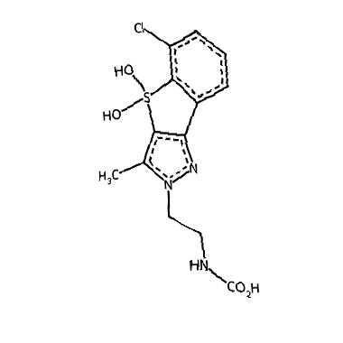 Cc1c2c(nn1CCNC(=O)O)-c1cccc(Cl)c1S2(O)O